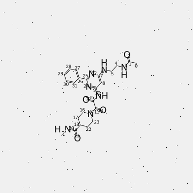 CC(=O)NCCNc1cc(NC(=O)C(=O)N2CCC(C(N)=O)CC2)nc(-c2ccccc2)n1